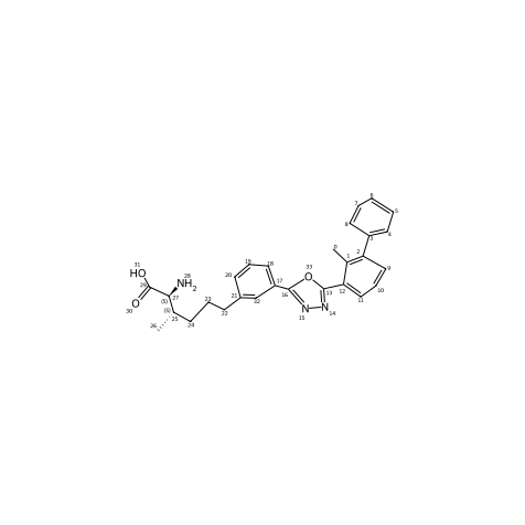 Cc1c(-c2ccccc2)cccc1-c1nnc(-c2cccc(CCC[C@H](C)[C@H](N)C(=O)O)c2)o1